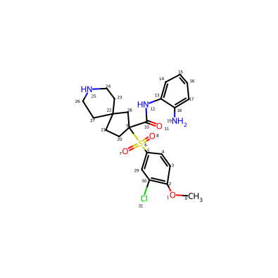 COc1ccc(S(=O)(=O)C2(C(=O)Nc3ccccc3N)CCC3(CCNCC3)C2)cc1Cl